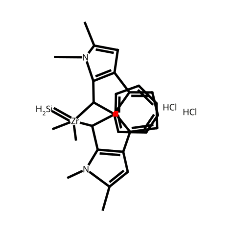 Cc1cc2c(n1C)[CH]([Zr]([CH3])([CH3])(=[SiH2])[CH]1c3ccccc3-c3cc(C)n(C)c31)c1ccccc1-2.Cl.Cl